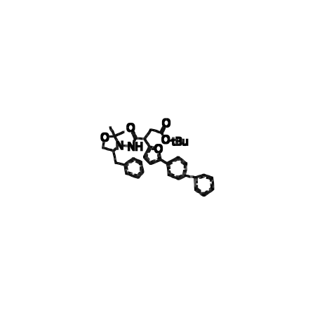 CC(C)(C)OC(=O)CC(C(=O)NN1C(Cc2ccccc2)COC1(C)C)c1ccc(-c2ccc(-c3ccccc3)cc2)o1